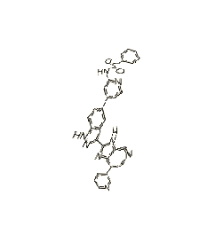 O=S(=O)(Nc1cc(-c2ccc3[nH]nc(-c4nc5c(-c6cccnc6)cncc5[nH]4)c3c2)ccn1)c1ccccc1